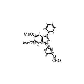 COc1cc2c(-c3ccccc3)nn(-c3nc(OC=O)cs3)c2cc1OC